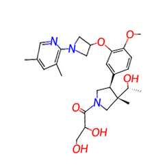 COc1ccc([C@@H]2CN(C(=O)C(O)CO)C[C@@]2(C)[C@@H](C)O)cc1OC1CN(c2ncc(C)cc2C)C1